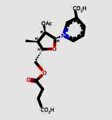 CC(=O)O[C@@H]1[C@H](C)[C@@H](COC(=O)CCC(=O)O)O[C@H]1[n+]1cccc(C(=O)O)c1